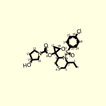 CCC1CSCC(C2(OC(=O)N3CCC(O)C3)CC2)N1S(=O)(=O)c1ccc(Cl)cc1